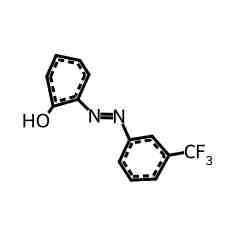 Oc1ccccc1/N=N/c1cccc(C(F)(F)F)c1